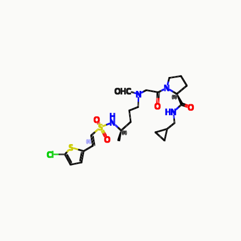 C[C@H](CCCN(C=O)CC(=O)N1CCC[C@H]1C(=O)NCC1CC1)NS(=O)(=O)/C=C/c1ccc(Cl)s1